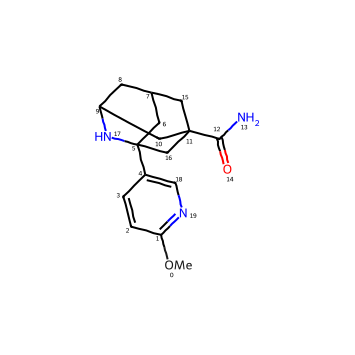 COc1ccc(C23CC4CC(CC(C(N)=O)(C4)C2)N3)cn1